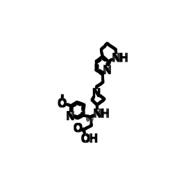 COc1ccc([C@H](CC(=O)O)NC2CN(CCc3ccc4c(n3)NCCC4)C2)cn1